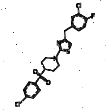 O=S(=O)(c1ccc(Cl)cc1)C1CCN(c2nc(Cc3ccc(F)c(Cl)c3)cs2)CC1